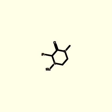 CC(C)C1C(=O)N(C)CCN1C(C)(C)C